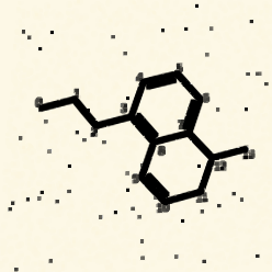 CCCc1cccc2c1C=CCC2C